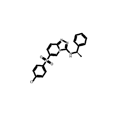 C[C@@H](Nc1nnc2ccc(S(=O)(=O)c3ccc(Cl)cc3)cn12)c1ccccc1